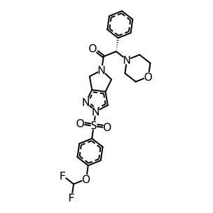 O=C([C@H](c1ccccc1)N1CCOCC1)N1Cc2cn(S(=O)(=O)c3ccc(OC(F)F)cc3)nc2C1